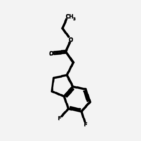 CCOC(=O)CC1CCc2c1ccc(F)c2F